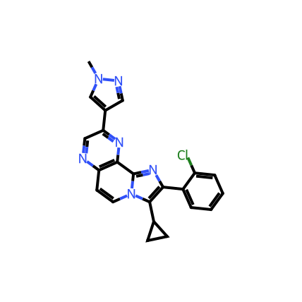 Cn1cc(-c2cnc3ccn4c(C5CC5)c(-c5ccccc5Cl)nc4c3n2)cn1